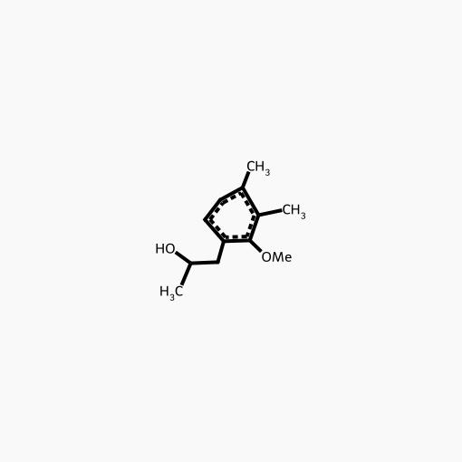 COc1c(CC(C)O)ccc(C)c1C